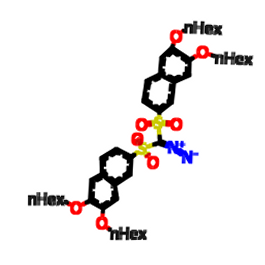 CCCCCCOc1cc2ccc(S(=O)(=O)C(=[N+]=[N-])S(=O)(=O)c3ccc4cc(OCCCCCC)c(OCCCCCC)cc4c3)cc2cc1OCCCCCC